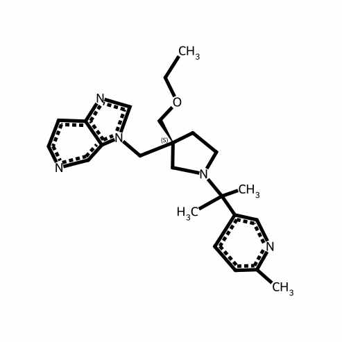 CCOC[C@@]1(Cn2cnc3ccncc32)CCN(C(C)(C)c2ccc(C)nc2)C1